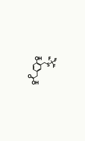 O=C(O)Cc1ccc(O)c(CSC(F)(F)F)c1